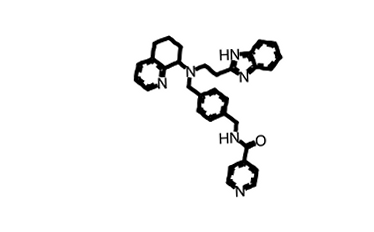 O=C(NCc1ccc(CN(CCc2nc3ccccc3[nH]2)C2CCCc3cccnc32)cc1)c1ccncc1